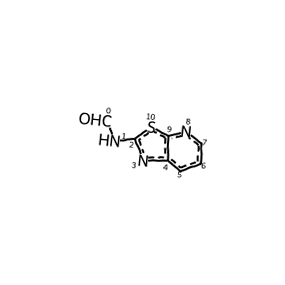 O=CNc1nc2cccnc2s1